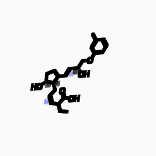 CCC(/C=C\C[C@@H]1C(/C=C/[C@@H](O)COc2cccc(C)c2)CC[C@@H]1O)C(=O)O